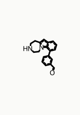 O=Cc1cccc(-c2cccc3cc4n(c23)CCNCC4)c1